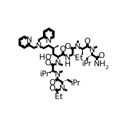 CCC(=O)N(C)[C@@H](CC(C)C)C(=O)N(C)[C@H](C(=O)N(C)[C@H](C(=O)N[C@@H](CC)C(=O)N(C)[C@H](C)C(=O)N(C)[C@@H](CC(C)C)C(N)=O)[C@H](O)[C@H](C)CCN(Cc1ccccn1)Cc1ccccn1)C(C)C